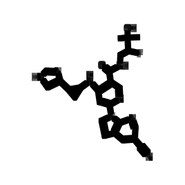 CC(C)(O)C(F)CNC(=O)c1cnc(-n2ccc3cc(C#N)cnc32)cc1NC1CC1c1c[nH]cn1